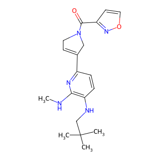 CNc1nc(C2=CCN(C(=O)c3ccon3)C2)ccc1NCC(C)(C)C